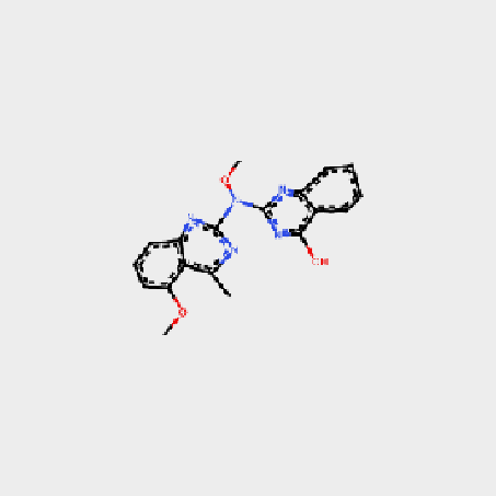 COc1cccc2nc(N(OC)c3nc(O)c4ccccc4n3)nc(C)c12